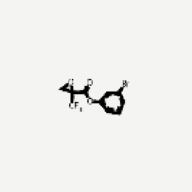 O=C(Oc1cccc(Br)c1)C1(C(F)(F)F)CO1